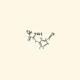 N#Cc1cccc(CC(=N)C(=O)O)c1